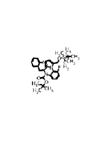 CC(C)(C)OC(=O)N(c1cnc2ccccc2c1)c1cccc(F)c1-n1nccc1CO[Si](C)(C)C(C)(C)C